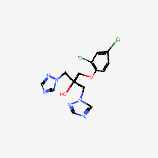 OC(COc1ccc(Cl)cc1Cl)(Cn1cncn1)Cn1cncn1